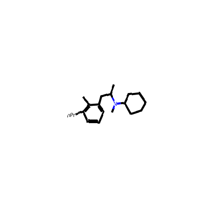 CCCc1cccc(CC(C)N(C)C2CCCCC2)c1C